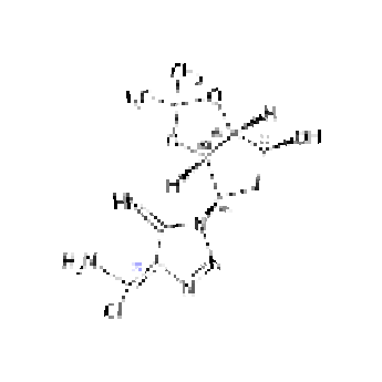 CC1(C)O[C@@H]2[C@H](O1)[C@@H](O)C[C@H]2N1N=N/C(=C(/N)Cl)C1=N